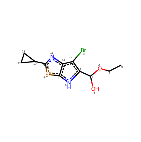 CCOC(O)c1[nH]c2sc(C3CC3)nc2c1Br